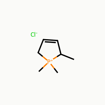 CC1C=CC[P+]1(C)C.[Cl-]